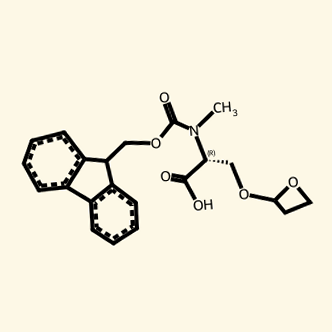 CN(C(=O)OCC1c2ccccc2-c2ccccc21)[C@H](COC1CCO1)C(=O)O